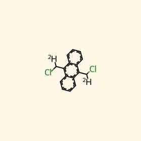 [2H]C(Cl)c1c2ccccc2c(C([2H])Cl)c2ccccc12